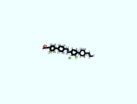 C/C=C/C1CCC(c2ccc(/C=C/c3ccc(-c4ccc(C5CO5)c(F)c4)cc3)c(F)c2F)CC1